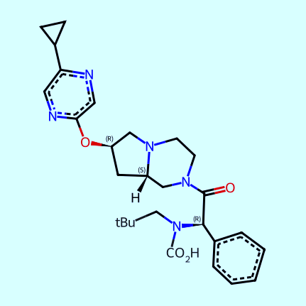 CC(C)(C)CN(C(=O)O)[C@@H](C(=O)N1CCN2C[C@H](Oc3cnc(C4CC4)cn3)C[C@H]2C1)c1ccccc1